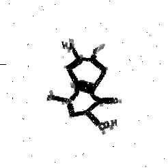 CCN1CC(C(=O)O)C(=O)c2cc(F)c(N)cc21